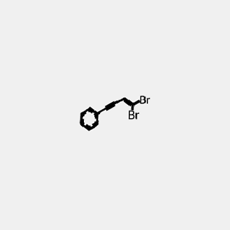 BrC(Br)=CC#Cc1ccccc1